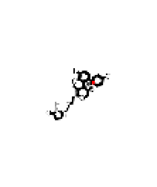 O=C1CC[C@H](CSCC[C@@H]2OCC[C@@]3(S(=O)(=O)c4ccc(Cl)cc4)c4c(F)ccc(F)c4OC[C@@H]23)N1